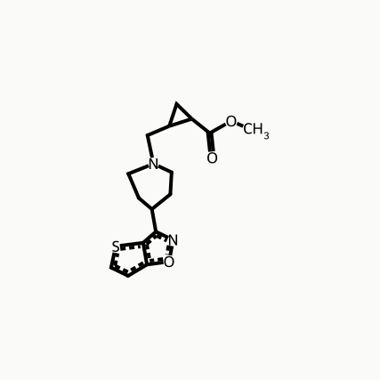 COC(=O)C1CC1CN1CCC(c2noc3ccsc23)CC1